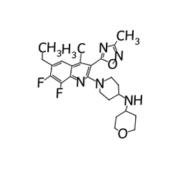 CCc1cc2c(C)c(-c3nc(C)no3)c(N3CCC(NC4CCOCC4)CC3)nc2c(F)c1F